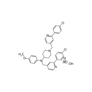 COc1ccc(N(Cc2ccnc(-c3ccc(Cl)cc3)c2)C2CCN(Cc3ccnc(-c4ccc(Cl)cc4)c3)CC2)cc1.Cl.Cl.Cl